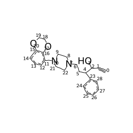 C#CC(O)C(CCN1CCN(c2cccc3c2OCCO3)CC1)c1ccccc1